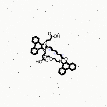 O=COCCN1\C(=C/C=C/C=C/c2n(CCC(=O)O)c3c4ccccc4c4ccccc4c3[n+]2CCC(=O)O)Oc2c1c1ccccc1c1ccccc21